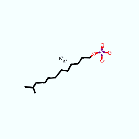 CC(C)CCCCCCCCCCOP(=O)([O-])[O-].[K+].[K+]